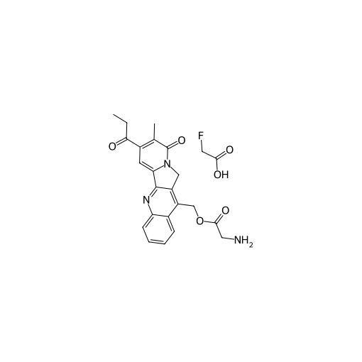 CCC(=O)c1cc2n(c(=O)c1C)Cc1c-2nc2ccccc2c1COC(=O)CN.O=C(O)CF